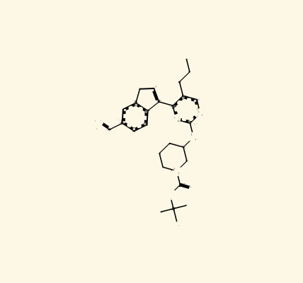 CCCc1cnc(NC2CCCN(C(=O)OC(C)(C)C)C2)nc1C1=CCc2cc(C=O)ccc21